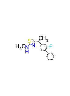 CNc1nc(C(C)c2ccc(-c3ccccc3)c(F)c2)cs1